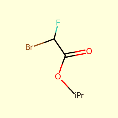 CC(C)OC(=O)C(F)Br